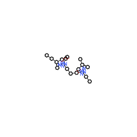 c1ccc(-c2ccc(-c3cc(-c4ccc(-c5ccccc5)cc4)c4c(c3)c3ccccc3n4-c3nc(-c4ccccc4)nc(-c4ccc(-c5cccc(-c6ccc(-c7nc(-c8ccc(-c9ccccc9)cc8)nc(-n8c9ccccc9c9cc(-c%10ccccc%10)cc(-c%10ccccc%10)c98)n7)cc6)c5)cc4)n3)cc2)cc1